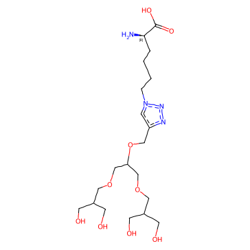 N[C@H](CCCCn1cc(COC(COCC(CO)CO)COCC(CO)CO)nn1)C(=O)O